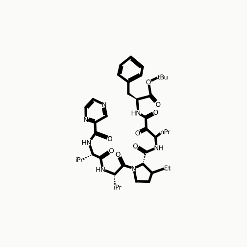 CCCC(NC(=O)[C@@H]1C(CC)CCN1C(=O)[C@@H](NC(=O)[C@@H](NC(=O)c1cnccn1)C(C)C)C(C)C)C(=O)C(=O)N[C@@H](Cc1ccccc1)C(=O)OC(C)(C)C